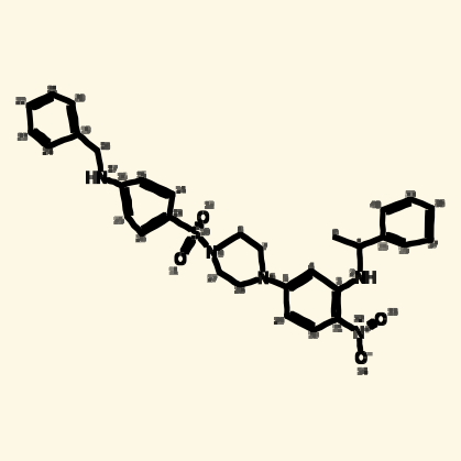 CC(Nc1cc(N2CCN(S(=O)(=O)c3ccc(NCc4ccccc4)cc3)CC2)ccc1[N+](=O)[O-])c1ccccc1